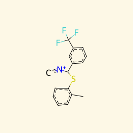 [C-]#[N+]C(Sc1ccccc1C)c1cccc(C(F)(F)F)c1